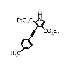 CCOC(=O)c1c[nH]c(C(=O)OCC)c1C#Cc1ccc(C)cc1